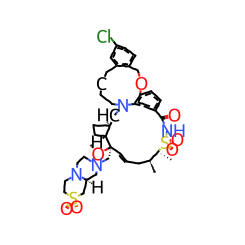 CO[C@]1(CN2CCN3CCS(=O)(=O)C[C@@H]3C2)/C=C/C[C@H](C)[C@@H](C)S(=O)(=O)NC(=O)c2ccc3c(c2)N(CCCCc2cc(Cl)ccc2CO3)C[C@@H]2CC[C@H]21